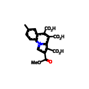 COC(=O)c1cn2c(c1C(=O)O)c(C(=O)O)c(C(=O)O)c1cc(C)ccc12